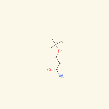 CC(C)(C)OCCC(N)=O